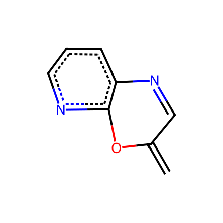 C=C1C=Nc2cccnc2O1